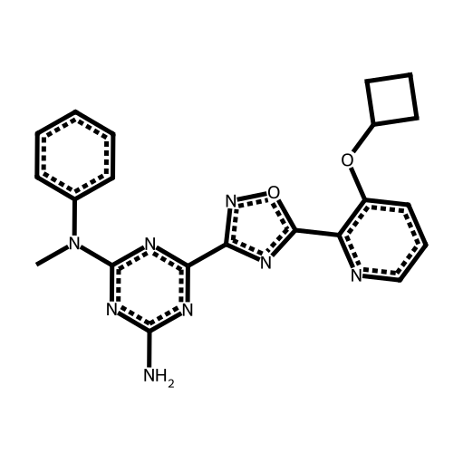 CN(c1ccccc1)c1nc(N)nc(-c2noc(-c3ncccc3OC3CCC3)n2)n1